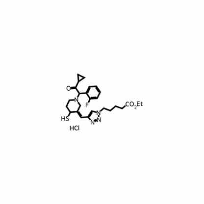 CCOC(=O)CCCCn1cc(/C=C2\CN(C(C(=O)C3CC3)c3ccccc3F)CCC2S)nn1.Cl